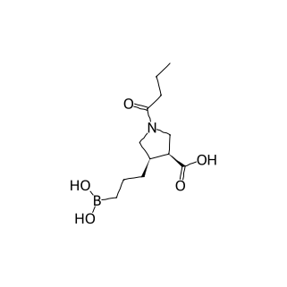 CCCC(=O)N1C[C@H](CCCB(O)O)[C@H](C(=O)O)C1